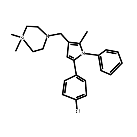 Cc1c(CN2CC[Si](C)(C)CC2)cc(-c2ccc(Cl)cc2)n1-c1ccccc1